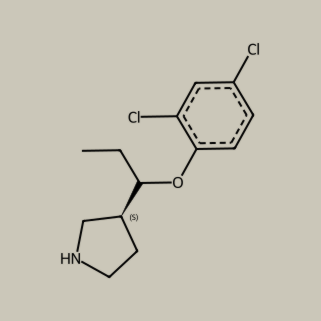 CCC(Oc1ccc(Cl)cc1Cl)[C@H]1CCNC1